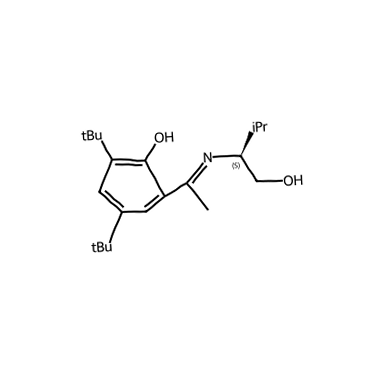 CC(=N[C@H](CO)C(C)C)c1cc(C(C)(C)C)cc(C(C)(C)C)c1O